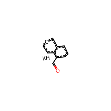 O=Cc1cccc2ccccc12.[KH]